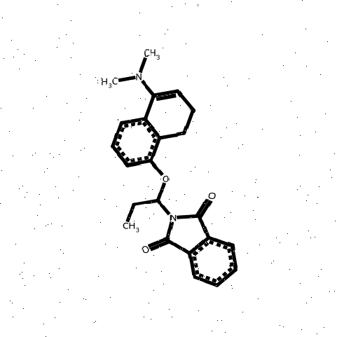 CCC(Oc1cccc2c1CCC=C2N(C)C)N1C(=O)c2ccccc2C1=O